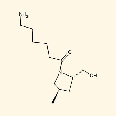 C[C@@H]1C[C@@H](CO)N(C(=O)CCCCCN)C1